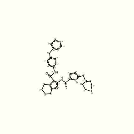 O=C(Nc1sc2c(c1C(=O)Nc1ccc(Cc3ccncc3)cc1)CCCC2)c1ccc(CN2CCOCC2)o1